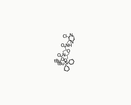 CC(C)(C)OC(=O)N1CC(C(=O)NCc2nccnc2Cl)OCC1CO[Si](c1ccccc1)(c1ccccc1)C(C)(C)C